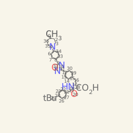 CC1CCN(c2ccc(-c3nc(-c4ccc(C[C@H](NC(=O)c5ccc(C(C)(C)C)cc5)C(=O)O)cc4)no3)cc2)CC1